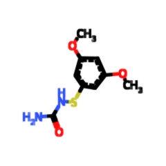 COc1cc(OC)cc(SNC(N)=O)c1